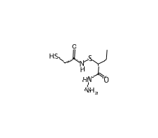 CCC(SNC(=O)CS)C(=O)NN